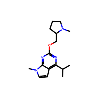 CC(C)c1nc(OCC2CCCN2C)nc2c1ccn2C